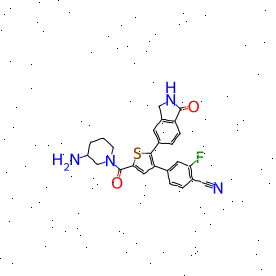 N#Cc1ccc(-c2cc(C(=O)N3CCCC(N)C3)sc2-c2ccc3c(c2)CNC3=O)cc1F